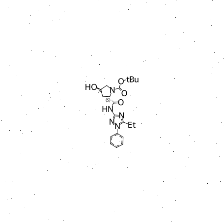 CCc1nc(NC(=O)[C@@H]2C[C@@H](O)CN2C(=O)OC(C)(C)C)nn1-c1ccccc1